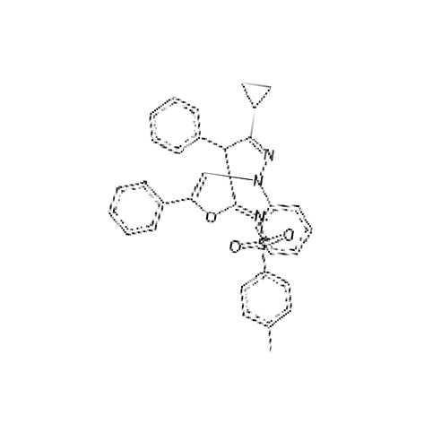 Cc1ccc(S(=O)(=O)/N=C2\OC(c3ccccc3)=CC23C(c2ccccc2)C(C2CC2)=NN3c2ccccc2)cc1